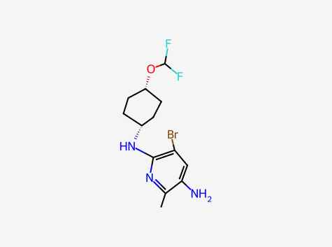 Cc1nc(N[C@H]2CC[C@@H](OC(F)F)CC2)c(Br)cc1N